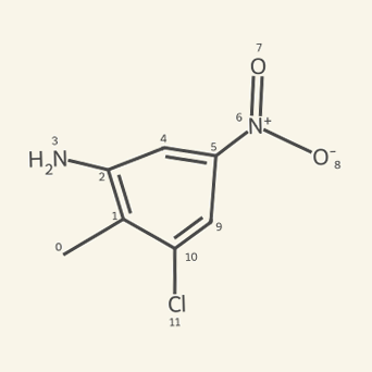 Cc1c(N)cc([N+](=O)[O-])cc1Cl